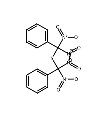 O=[N+]([O-])C(SC(c1ccccc1)([N+](=O)[O-])[N+](=O)[O-])(c1ccccc1)[N+](=O)[O-]